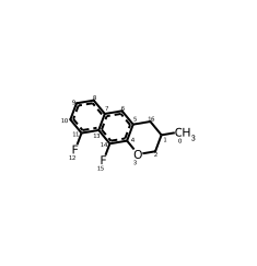 CC1COc2c(cc3cccc(F)c3c2F)C1